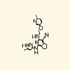 Cc1ccc(OCCNc2nc(Nc3cc(C)[nH]n3)c3c(c2C#N)CCC3)cn1